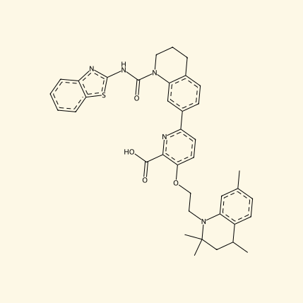 Cc1ccc2c(c1)N(CCOc1ccc(-c3ccc4c(c3)N(C(=O)Nc3nc5ccccc5s3)CCC4)nc1C(=O)O)C(C)(C)CC2C